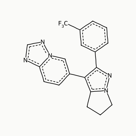 FC(F)(F)c1cccc(-c2nn3c(c2-c2ccc4ncnn4c2)CCC3)c1